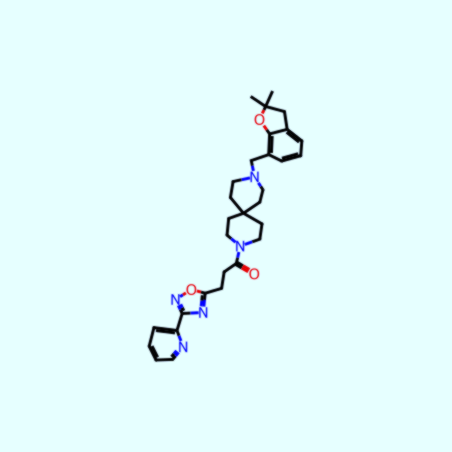 CC1(C)Cc2cccc(CN3CCC4(CC3)CCN(C(=O)CCc3nc(-c5ccccn5)no3)CC4)c2O1